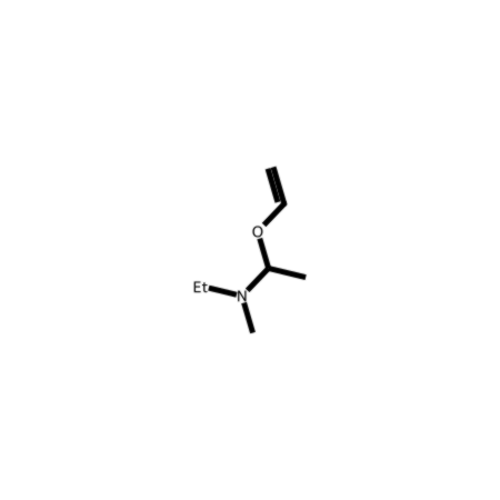 C=COC(C)N(C)CC